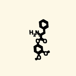 COc1ccc(OC(=O)[C@@H](N)Cc2ccccc2)cc1OC